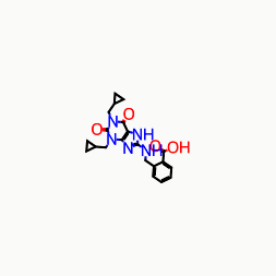 O=C(O)c1ccccc1CNc1nc2c([nH]1)c(=O)n(CC1CC1)c(=O)n2CC1CC1